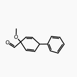 COC1(C=O)C=CC(c2ccccc2)C=C1